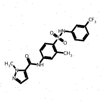 Cc1cc(NC(=O)c2ccnn2C)ccc1S(=O)(=O)Nc1cccc(C(F)(F)F)c1